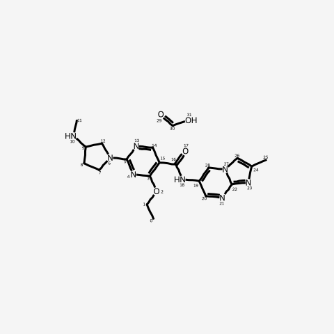 CCOc1nc(N2CCC(NC)C2)ncc1C(=O)Nc1cnc2nc(C)cn2c1.O=CO